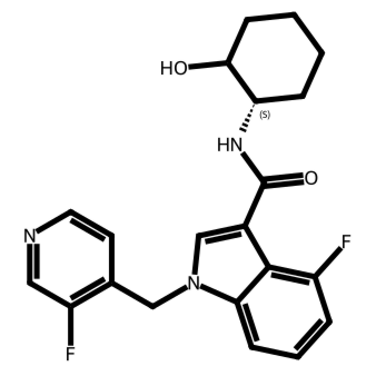 O=C(N[C@H]1CCCCC1O)c1cn(Cc2ccncc2F)c2cccc(F)c12